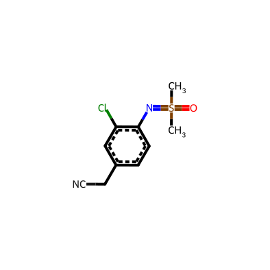 CS(C)(=O)=Nc1ccc(CC#N)cc1Cl